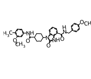 COc1ccc(CNC(=O)c2cccc3c2[nH]c(=O)n3C2CCC(C(=O)Nc3ccc(C)c(OC)c3)CC2)cc1